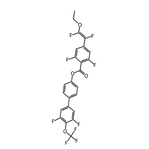 CCO/C(F)=C(\F)c1cc(F)c(C(=O)Oc2ccc(-c3cc(F)c(OC(F)(F)F)c(F)c3)cc2)c(F)c1